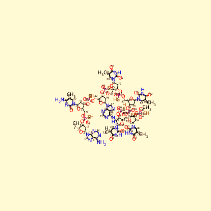 CC[C@H]1O[C@@H](n2cnc3c(N)ncnc32)C[C@H]1OP(=O)(S)OC[C@H]1O[C@@H](n2cc(C)c(N)nc2=O)C[C@H]1OP(=O)(S)OC[C@H]1O[C@@H](n2cnc3c(N)ncnc32)C[C@H]1OP(=O)(S)OC[C@H]1O[C@@H](n2cc(C)c(=O)[nH]c2=O)C[C@H]1OP(=O)(S)OC[C@H]1O[C@@H](n2cc(C)c(=O)[nH]c2=O)C[C@H]1OP(=O)(S)OC[C@H]1O[C@@H](n2cc(C)c(=O)[nH]c2=O)C[C@H]1OP(=O)(S)OC[C@H]1O[C@@H](n2cc(C)c(=O)[nH]c2=O)C[C@H]1OP(=O)(S)OC